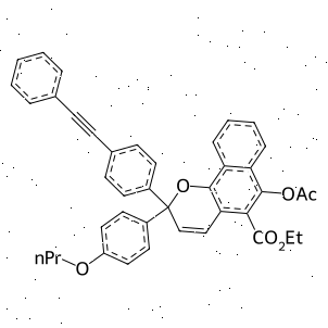 CCCOc1ccc(C2(c3ccc(C#Cc4ccccc4)cc3)C=Cc3c(C(=O)OCC)c(OC(C)=O)c4ccccc4c3O2)cc1